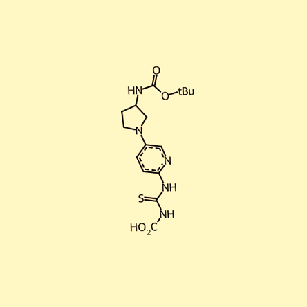 CC(C)(C)OC(=O)NC1CCN(c2ccc(NC(=S)NC(=O)O)nc2)C1